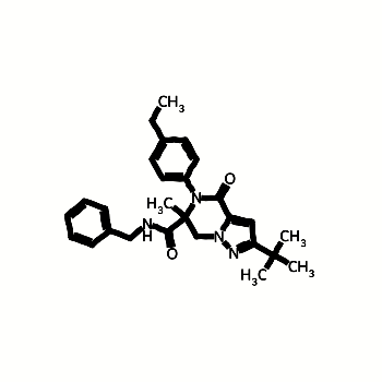 CCc1ccc(N2C(=O)c3cc(C(C)(C)C)nn3CC2(C)C(=O)NCc2ccccc2)cc1